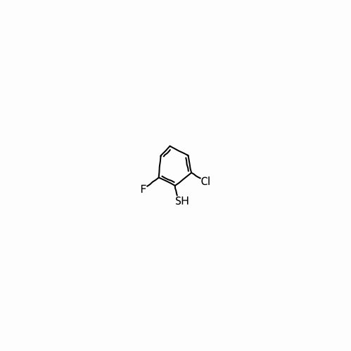 Fc1cccc(Cl)c1S